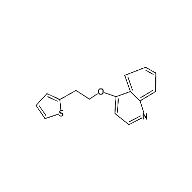 c1csc(CCOc2ccnc3ccccc23)c1